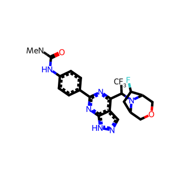 CNC(=O)Nc1ccc(-c2nc(C(N3C4COCC3C(F)C4)C(F)(F)F)c3cn[nH]c3n2)cc1